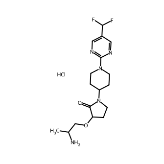 CC(N)COC1CCN(C2CCN(c3ncc(C(F)F)cn3)CC2)C1=O.Cl